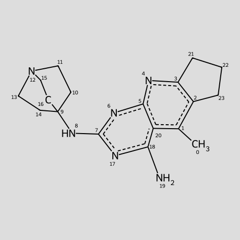 Cc1c2c(nc3nc(NC45CCN(CC4)CC5)nc(N)c13)CCC2